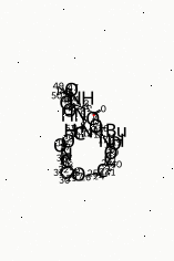 C=C[C@H]1C[C@@]1(NC(=O)C1C[C@@H]2CN1C(=O)[C@H](C(C)(C)C)NC(=O)OCC1(C/C=C/COc3cccc4c3CN(C4)C(=O)O2)CC1)C(=O)NS(=O)(=O)C1CC1